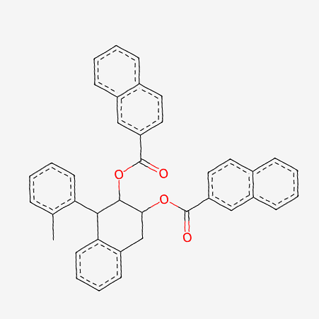 Cc1ccccc1C1c2ccccc2CC(OC(=O)c2ccc3ccccc3c2)C1OC(=O)c1ccc2ccccc2c1